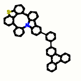 c1cc(-c2ccc3c4ccccc4c4ccccc4c3c2)cc(-c2ccc3c(c2)c2cccc4c5cccc6sc7cccc(c8ccccc8n3c42)c7c65)c1